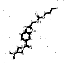 CCCCOC(=O)NCc1nc2ccc(C(=O)N3CC(N(C)C)C3)cc2s1